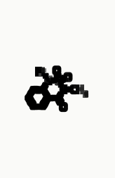 CCN1c2ccccc2C(=O)N(C)S1(=O)=O